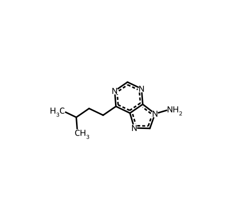 CC(C)CCc1ncnc2c1ncn2N